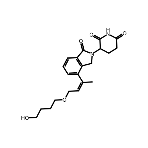 C/C(=C/COCCCCO)c1cccc2c1CN(C1CCC(=O)NC1=O)C2=O